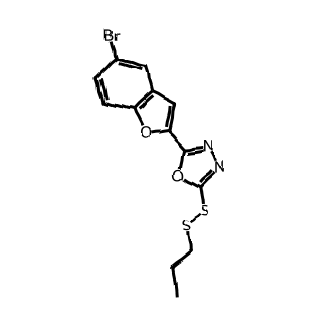 CCCSSc1nnc(-c2cc3cc(Br)ccc3o2)o1